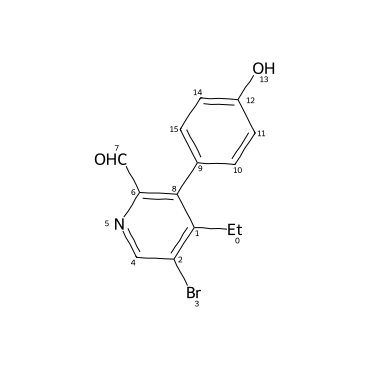 CCc1c(Br)cnc(C=O)c1-c1ccc(O)cc1